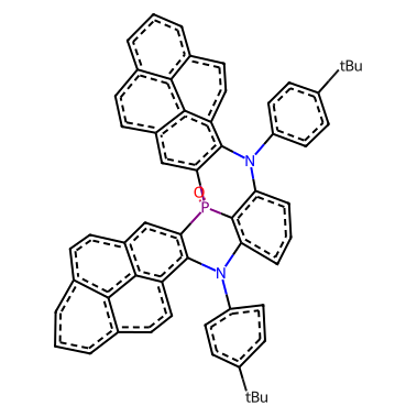 CC(C)(C)c1ccc(N2c3cccc4c3P(=O)(c3cc5ccc6cccc7ccc(c32)c5c67)c2cc3ccc5cccc6ccc(c2N4c2ccc(C(C)(C)C)cc2)c3c56)cc1